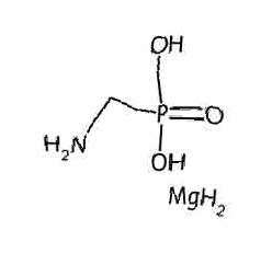 NCP(=O)(O)O.[MgH2]